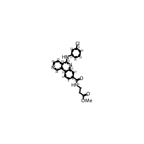 COC(=O)CCNC(=O)c1ccc2c(c1)nc(Nc1cccc(Cl)c1)c1ccncc12